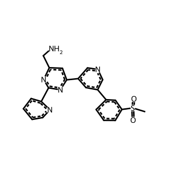 CS(=O)(=O)c1cccc(-c2cncc(-c3cc(CN)nc(-c4ccccn4)n3)c2)c1